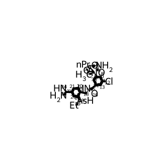 CCCS(=O)(=O)[N+](C)(C(N)=O)c1cc(Cl)cc(C(=O)NCc2ccc(C(=N)N)cc2[AsH]CC)c1